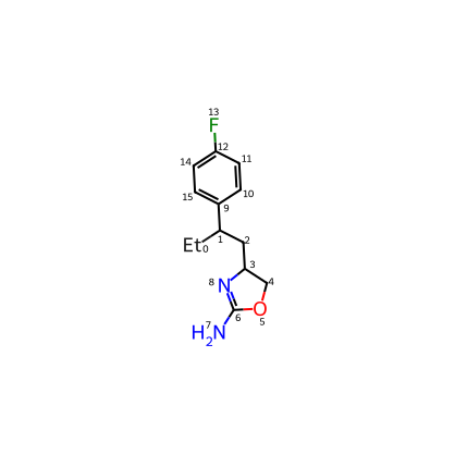 CCC(CC1COC(N)=N1)c1ccc(F)cc1